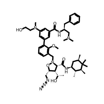 COc1c(CN2O[C@@H](CN=[N+]=[N-])[C@@H]([C@H](C)O)[C@H]2C(=O)N[C@H]2C[C@@H](C)C(C)(C)[C@@H](C)[C@@H]2C)cccc1-c1cc(C(=O)N[C@@H](Cc2ccccc2)CN(C)C)cc(N(C)CCO)c1